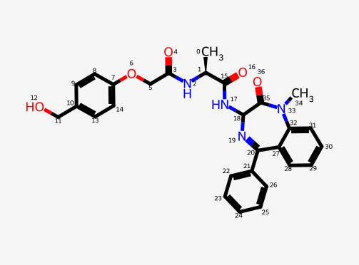 C[C@H](NC(=O)COc1ccc(CO)cc1)C(=O)NC1N=C(c2ccccc2)c2ccccc2N(C)C1=O